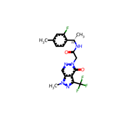 Cc1ccc([C@H](C)NC(=O)Cn2ncc3c(c(C(F)(F)F)nn3C)c2=O)c(F)c1